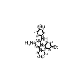 CCCCc1ccc(NC2N=C(N)N=C(N3CCOCC3)N2c2ccc(CC)cc2)cc1